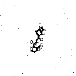 O=C(CCC(=O)c1ncccc1C(F)(F)F)c1ccc2[nH]ccc2c1